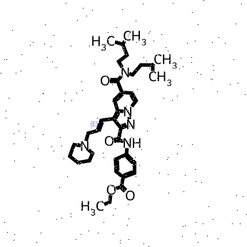 CCOC(=O)c1ccc(NC(=O)c2nn3ccc(C(=O)N(CCC(C)C)CCC(C)C)cc3c2/C=C/CN2CCCCC2)cc1